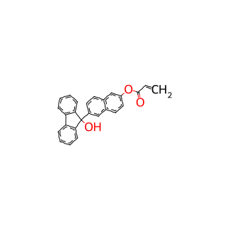 C=CC(=O)Oc1ccc2cc(C3(O)c4ccccc4-c4ccccc43)ccc2c1